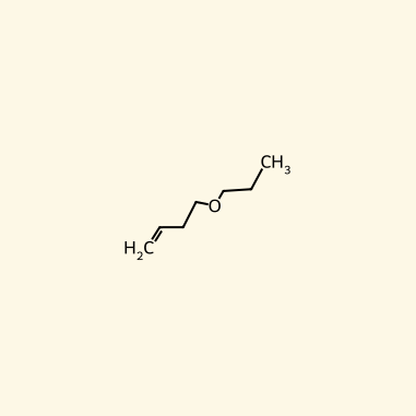 C=CCCOCCC